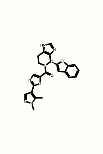 Cc1c(-c2ncc(C(=O)N3CCc4[nH]cnc4[C@H]3c3cc4ccccc4o3)s2)cnn1C